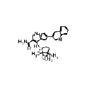 CC1(C)[C@H](Nc2c(C(N)=O)cnn3cc(-c4cnc5ccccc5c4)cc23)CC[C@]1(C)N